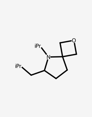 CC(C)CC1CCC2(COC2)N1C(C)C